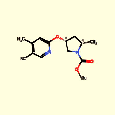 Cc1cc(O[C@@H]2C[C@H](C)N(C(=O)OC(C)(C)C)C2)ncc1C#N